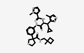 Cc1conc1C(C1CC1)[C@H](NC(=O)c1ccnn1C)C(=O)Nc1cccc(C2(C(=O)NCC3(C)CCC3)CCOC2)c1